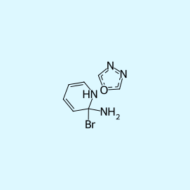 NC1(Br)C=CC=CN1.c1nnco1